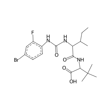 CCC(C)C(NC(=O)Nc1ccc(Br)cc1F)C(=O)NC(C(=O)O)C(C)(C)C